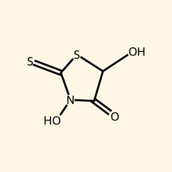 O=C1C(O)SC(=S)N1O